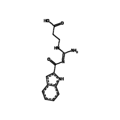 NC(=NC(=O)c1cc2ccccc2[nH]1)NCCC(=O)O